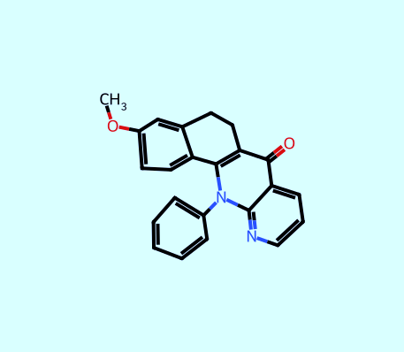 COc1ccc2c(c1)CCc1c-2n(-c2ccccc2)c2ncccc2c1=O